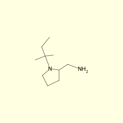 CCC(C)(C)N1CCCC1CN